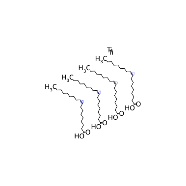 CCCCCCCC/C=C\CCCCCCCC(=O)O.CCCCCCCC/C=C\CCCCCCCC(=O)O.CCCCCCCC/C=C\CCCCCCCC(=O)O.CCCCCCCC/C=C\CCCCCCCC(=O)O.[Ti].[Ti]